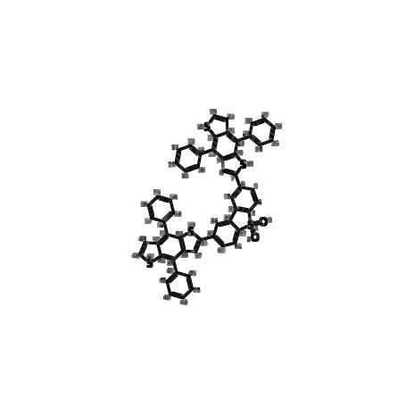 O=S1(=O)c2ccc(-c3cc4c(-c5ccccc5)c5sccc5c(-c5ccccc5)c4s3)cc2-c2cc(-c3cc4c(-c5ccccc5)c5sccc5c(-c5ccccc5)c4s3)ccc21